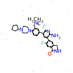 CN(C)Cc1cc(-c2cc(-c3cc4c(cc3F)C(=O)NCC4)c(N)nc2F)ccc1N1CCN(C2CCCC2)CC1